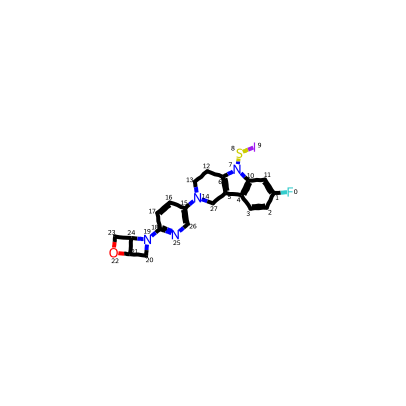 Fc1ccc2c3c(n(SI)c2c1)CCN(c1ccc(N2CC4OCC42)nc1)C3